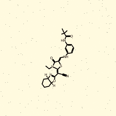 CCn1c(=C(C#N)C2=N[C@H]3CCCC[C@H]3O2)sc(=CNc2cccc(NC(=O)C(C)(C)C)c2)c1=O